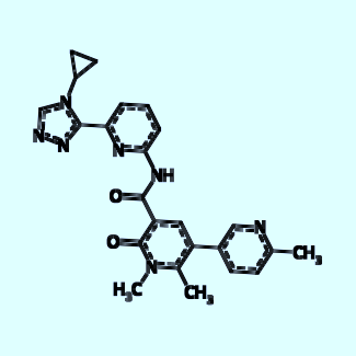 Cc1ccc(-c2cc(C(=O)Nc3cccc(-c4nncn4C4CC4)n3)c(=O)n(C)c2C)cn1